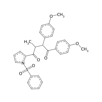 COc1ccc(C(=O)C(c2ccc(OC)cc2)C(C)C(=O)c2cccn2S(=O)(=O)c2ccccc2)cc1